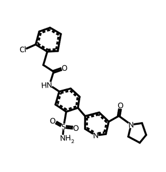 NS(=O)(=O)c1cc(NC(=O)Cc2ccccc2Cl)ccc1-c1cncc(C(=O)N2CCCC2)c1